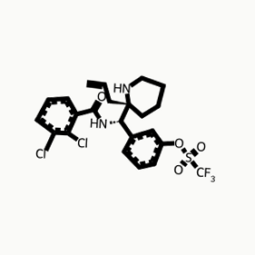 C=CC[C@]1([C@@H](NC(=O)c2cccc(Cl)c2Cl)c2cccc(OS(=O)(=O)C(F)(F)F)c2)CCCCN1